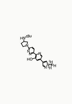 [2H]C([2H])([2H])n1cc(-c2cnc(-c3ccc(N4CCC(NC(C)(C)C)C4)nn3)c(O)c2)cn1